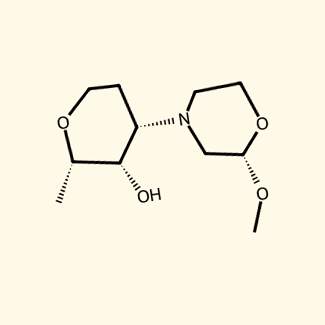 CO[C@@H]1CN([C@H]2CCO[C@@H](C)[C@H]2O)CCO1